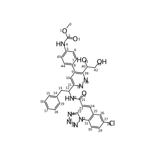 COC(=O)Nc1ccc(-c2cc(C(Cc3ccccc3)NC(=O)C=Cc3cc(Cl)ccc3-n3cnnn3)nnc2C(O)CO)cc1